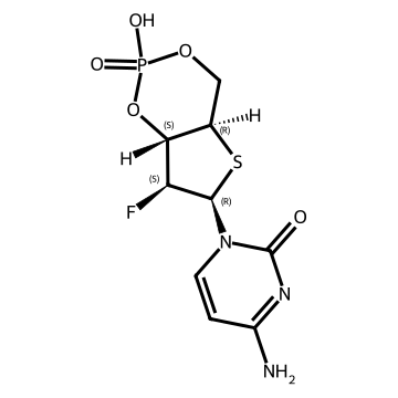 Nc1ccn([C@@H]2S[C@@H]3COP(=O)(O)O[C@H]3[C@@H]2F)c(=O)n1